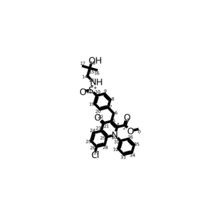 COC(=O)c1c(Cc2ccc([S+]([O-])NCC(C)(C)O)cc2)c(=O)c2ccc(Cl)cc2n1-c1ccccc1